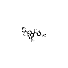 CCc1cc(Nc2ccc(C(C)=O)cn2)c2ccc(-c3ncccc3C(F)(F)F)nc2n1